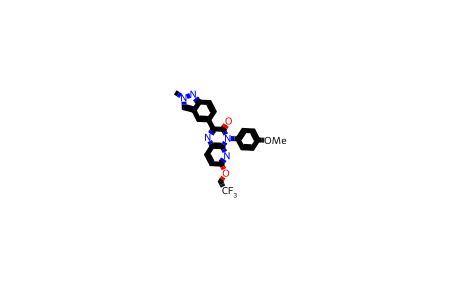 COc1ccc(-n2c(=O)c(-c3ccc4nn(C)cc4c3)nc3ccc(OCC(F)(F)F)nc32)cc1